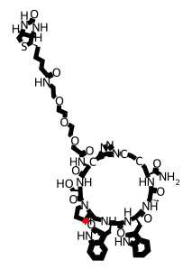 C[C@@H]1NC(=O)[C@@H](Cc2c[nH]c3ccccc23)NC(=O)[C@@H](Cc2c[nH]c3ccccc23)NC(=O)[C@H]2CCCN2C(=O)[C@@H](CO)NC(=O)[C@@H](NC(=O)COCCOCCOCCNC(=O)CCCC[C@@H]2SC[C@@H]3NC(=O)N[C@@H]32)Cc2cn(nn2)CCCC[C@@H](C(N)=O)NC1=O